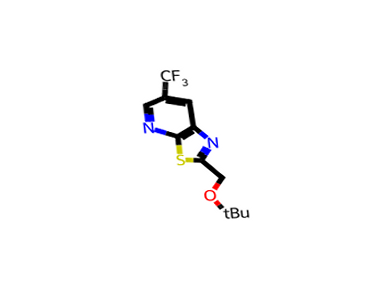 CC(C)(C)OCc1nc2cc(C(F)(F)F)cnc2s1